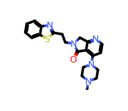 CN1CCN(c2ccnc3c2C(=O)N(CCc2nc4ccccc4s2)C3)CC1